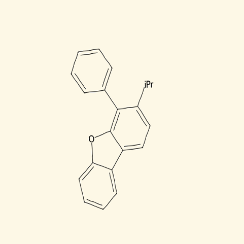 CC(C)c1ccc2c(oc3ccccc32)c1-c1ccccc1